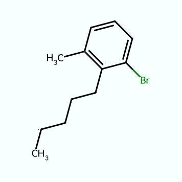 C[CH]CCCc1c(C)cccc1Br